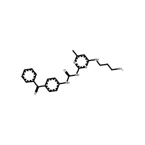 Cc1cc(NCCCN)nc(NC(=O)Nc2ccc(C(=O)c3ccccc3)cc2)n1